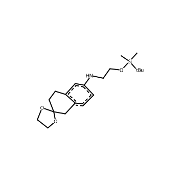 CC(C)(C)[Si](C)(C)OCCNc1ccc2c(c1)CCC1(C2)OCCO1